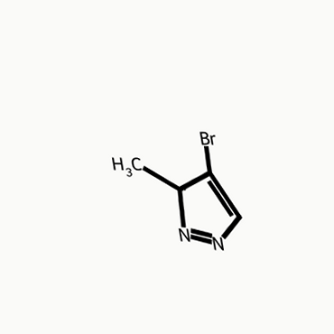 C[C]1N=NC=C1Br